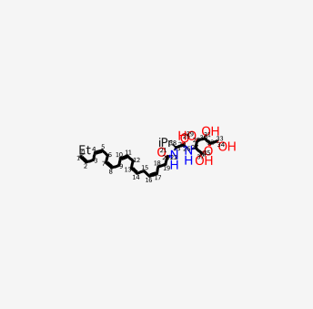 CC/C=C\C/C=C\C/C=C\C/C=C\C/C=C\C/C=C\CCC(=O)N[C@H](C(=O)N[C@H]1C(O)[C@H](O)C(CO)O[C@H]1O)C(C)C